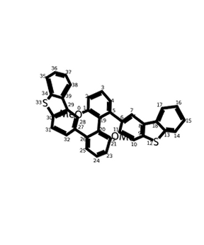 COc1cccc(-c2[c]c3c(cc2)sc2ccccc23)c1-c1c(OC)cccc1-c1[c]c2c(cc1)sc1ccccc12